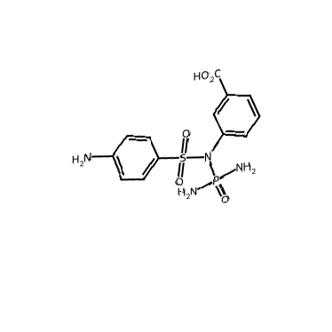 Nc1ccc(S(=O)(=O)N(c2cccc(C(=O)O)c2)P(N)(N)=O)cc1